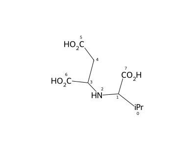 CC(C)C(NC(CC(=O)O)C(=O)O)C(=O)O